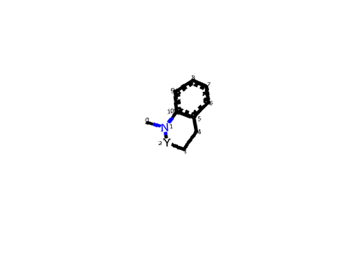 C[N]1[Y][CH2]Cc2ccccc21